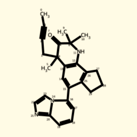 CC#CCC1(C)C(=O)C(C)(C)Nc2c1cc(-c1cccc3nccn13)c1c2CCC1